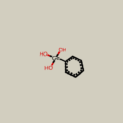 [OH][Ge]([OH])([OH])[c]1ccccc1